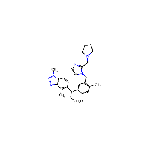 CCOC(=O)CC(c1ccc(C)c(Cn2ccnc2CN2CCCC2)c1)c1ccc2c(nnn2C)c1C